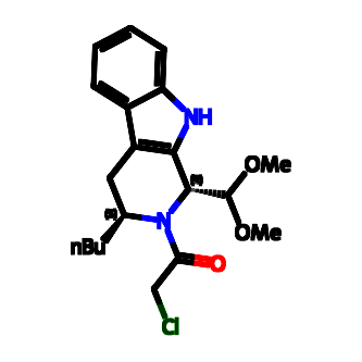 CCCC[C@H]1Cc2c([nH]c3ccccc23)[C@H](C(OC)OC)N1C(=O)CCl